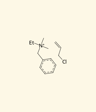 C=CCCl.CC[N+](C)(C)Cc1ccccc1